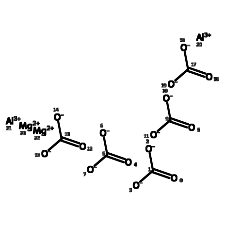 O=C([O-])[O-].O=C([O-])[O-].O=C([O-])[O-].O=C([O-])[O-].O=C([O-])[O-].[Al+3].[Al+3].[Mg+2].[Mg+2]